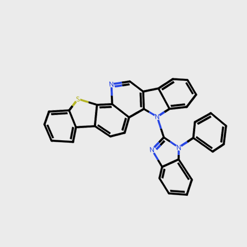 c1ccc(-n2c(-n3c4ccccc4c4cnc5c(ccc6c7ccccc7sc65)c43)nc3ccccc32)cc1